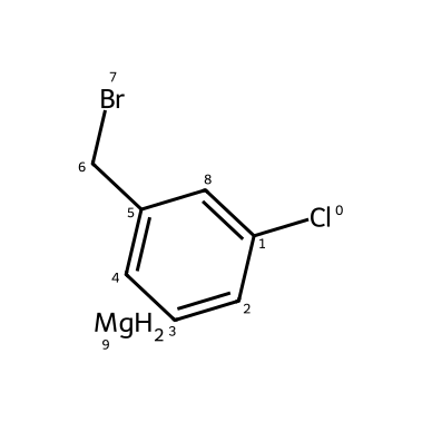 Clc1cccc(CBr)c1.[MgH2]